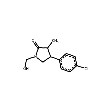 CC1C(=O)N(CO)CC1c1ccc(Cl)cc1